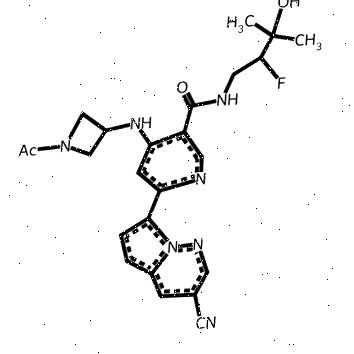 CC(=O)N1CC(Nc2cc(-c3ccc4cc(C#N)cnn34)ncc2C(=O)NCC(F)C(C)(C)O)C1